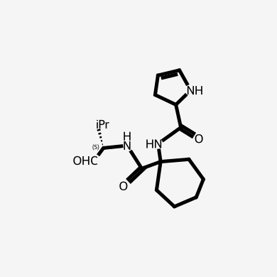 CC(C)[C@@H](C=O)NC(=O)C1(NC(=O)C2CC=CN2)CCCCC1